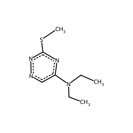 CCN(CC)c1cnnc(SC)n1